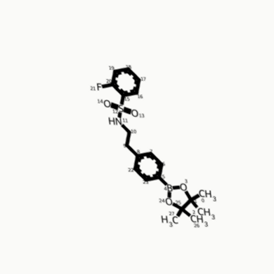 CC1(C)OB(c2ccc(CCNS(=O)(=O)c3ccccc3F)cc2)OC1(C)C